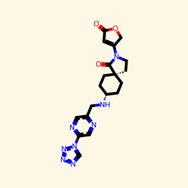 O=C1C=C(N2CC[C@]3(CC[C@@H](NCc4cnc(-n5cnnn5)cn4)CC3)C2=O)CO1